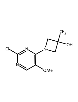 COc1cnc(Cl)nc1N1CC(O)(C(F)(F)F)C1